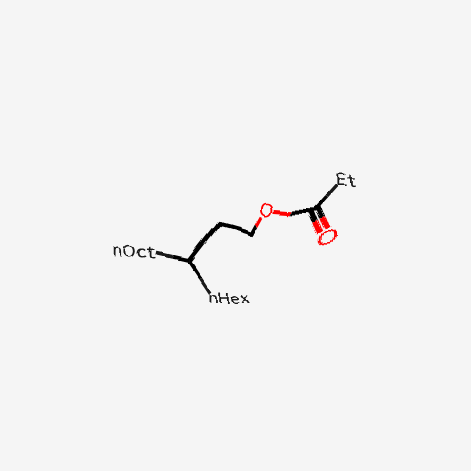 CCCCCCCCC(CCCCCC)CCOC(=O)CC